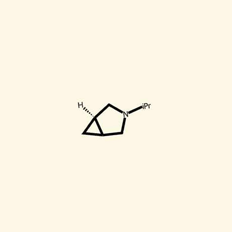 CC(C)N1CC2C[C@H]2C1